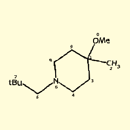 COC1(C)CCN(CC(C)(C)C)CC1